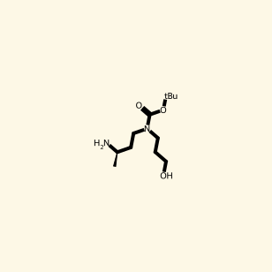 C[C@@H](N)CCN(CCCO)C(=O)OC(C)(C)C